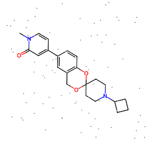 Cn1ccc(-c2ccc3c(c2)COC2(CCN(C4CCC4)CC2)O3)cc1=O